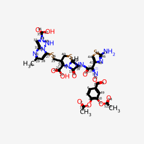 CC(=O)Oc1ccc(C(=O)O/N=C(\C(=O)N[C@@H]2C(=O)N3C(C(=O)O)=C(CSC4=CC(C)=NC5=CN(C(=O)O)NN54)CS[C@H]23)c2csc(N)n2)cc1OC(C)=O